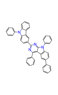 c1ccc(-c2ccc3c(c2)c2c(-c4ccccc4)nc(-c4ccc5c(c4)c4ccccc4n5-c4ccccc4)nc2n3-c2ccccc2)cc1